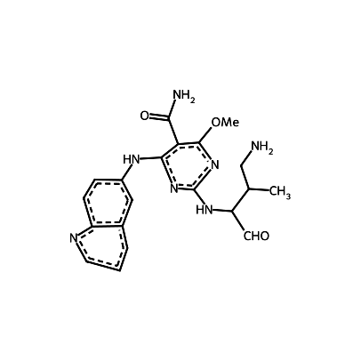 COc1nc(NC(C=O)C(C)CN)nc(Nc2ccc3ncccc3c2)c1C(N)=O